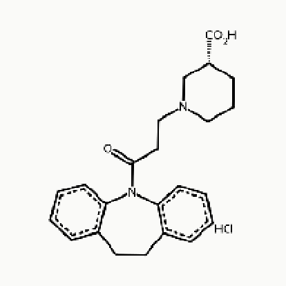 Cl.O=C(O)[C@@H]1CCCN(CCC(=O)N2c3ccccc3CCc3ccccc32)C1